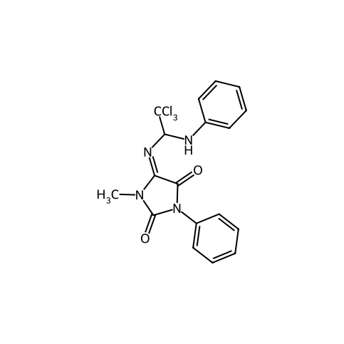 CN1C(=O)N(c2ccccc2)C(=O)C1=NC(Nc1ccccc1)C(Cl)(Cl)Cl